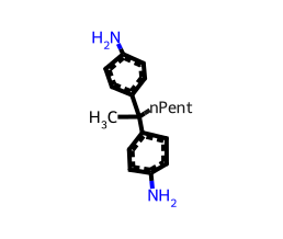 CCCCCC(C)(c1ccc(N)cc1)c1ccc(N)cc1